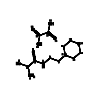 CCC(C)C(N)C(=O)NCCN1CCOCC1.O=C(O)C(=O)O